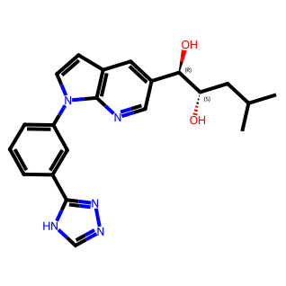 CC(C)C[C@H](O)[C@H](O)c1cnc2c(ccn2-c2cccc(-c3nnc[nH]3)c2)c1